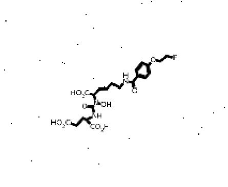 O=C(O)CCC(NC(=O)N(O)C(CCCCNC(=O)c1ccc(OCCF)cc1)C(=O)O)C(=O)O